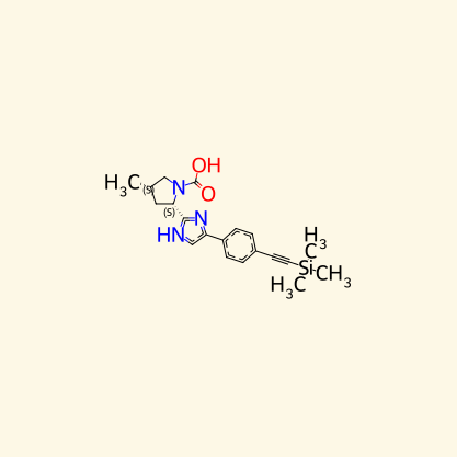 C[C@H]1C[C@@H](c2nc(-c3ccc(C#C[Si](C)(C)C)cc3)c[nH]2)N(C(=O)O)C1